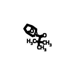 CC(C)(C)C(=O)N1CC2CCC(C1)O2